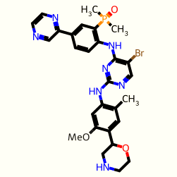 COc1cc(Nc2ncc(Br)c(Nc3ccc(-c4cnccn4)cc3P(C)(C)=O)n2)c(C)cc1C1CNCCO1